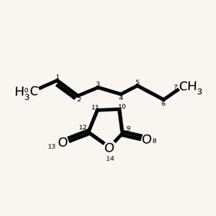 CC=CCCCCC.O=C1CCC(=O)O1